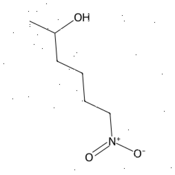 CC(O)CCCC[N+](=O)[O-]